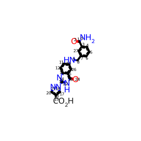 NC(=O)c1cccc(CNc2ccc3nc(-n4cc(C(=O)O)cn4)[nH]c(=O)c3c2)c1